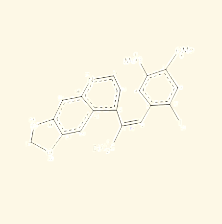 CCOC(=O)/C(=C/c1cc(OC)c(OC)cc1I)c1ccnc2cc3c(cc12)OCO3